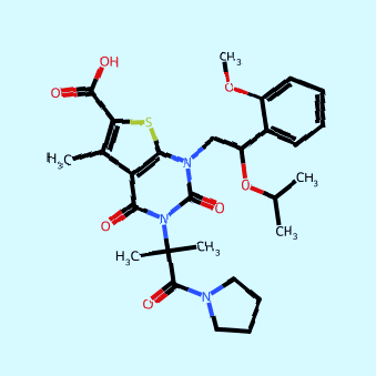 COc1ccccc1C(Cn1c(=O)n(C(C)(C)C(=O)N2CCCC2)c(=O)c2c(C)c(C(=O)O)sc21)OC(C)C